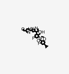 O=Cc1ccc(-c2cc3c(-c4cc(F)cc(N5CCOc6cc(C7CC7)cc(F)c6C5=O)c4CO)ccnc3[nH]2)nc1